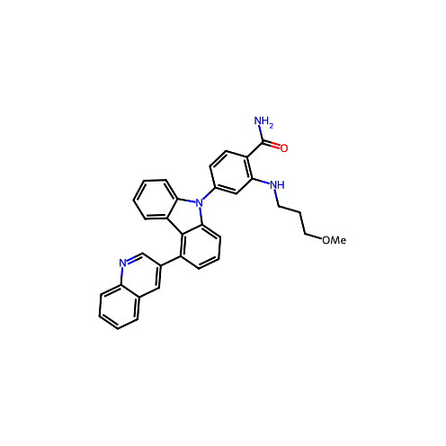 COCCCNc1cc(-n2c3ccccc3c3c(-c4cnc5ccccc5c4)cccc32)ccc1C(N)=O